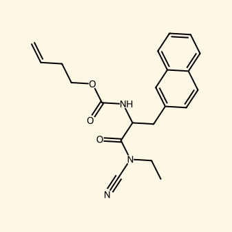 C=CCCOC(=O)NC(Cc1ccc2ccccc2c1)C(=O)N(C#N)CC